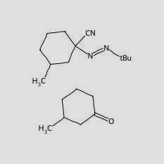 CC1CCCC(=O)C1.CC1CCCC(C#N)(/N=N/C(C)(C)C)C1